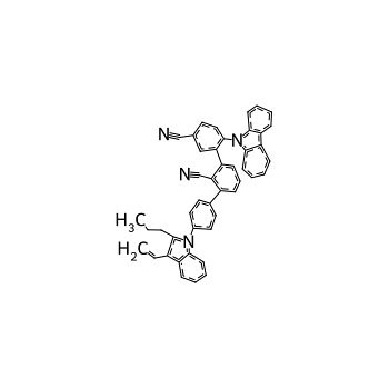 C=Cc1c(CCC)n(-c2ccc(-c3cccc(-c4cc(C#N)ccc4-n4c5ccccc5c5ccccc54)c3C#N)cc2)c2ccccc12